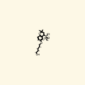 CCN(C1CC(C)(C)Oc2ccc(OCCCCCO)cc21)S(C)(=O)=O